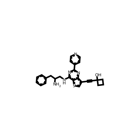 NC(CNc1nc(-c2ccncc2)nc2c(C#CC3(O)CCC3)csc12)Cc1ccccc1